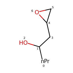 [CH2]CCC(O)CC1CO1